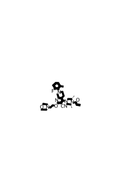 C=CC(=O)N1[C@H](C)CN(c2c(C#N)c(OCCN3CCOCC3)nc3c2CCN(c2c(C)cccc2F)C3)C[C@@H]1C